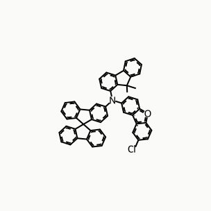 CC1(C)c2ccccc2-c2cccc(N(c3ccc4c(c3)-c3ccccc3C43c4ccccc4-c4ccccc43)c3ccc4oc5ccc(Cl)cc5c4c3)c21